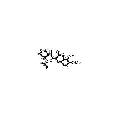 CCCc1c(OC)ccc2cc(C(=O)Nc3ccccc3OC(F)F)c(=O)oc12